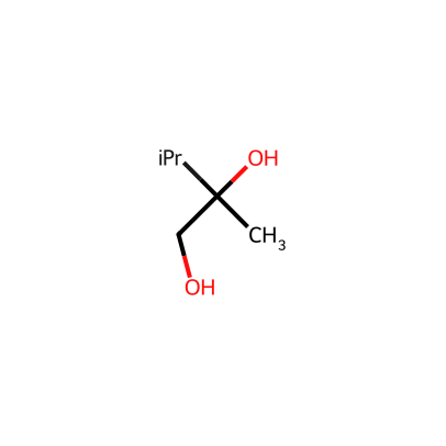 [CH2]C(C)C(C)(O)CO